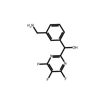 NCc1cccc(C(O)c2nc(F)c(F)c(F)n2)c1